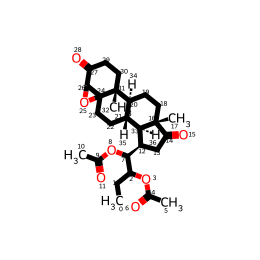 CCC(OC(C)=O)C(OC(C)=O)[C@@H]1CC(=O)[C@@]2(C)CC[C@H]3[C@@H](CCC45OC4C(=O)CC[C@]35C)[C@H]12